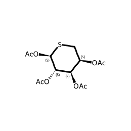 CC(=O)O[C@H]1[C@H](OC(C)=O)[C@@H](OC(C)=O)SC[C@H]1OC(C)=O